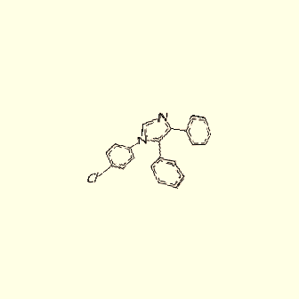 Clc1ccc(-n2cnc(-c3ccccc3)c2-c2ccccc2)cc1